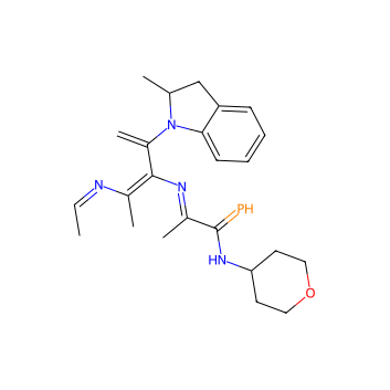 C=C(C(/N=C(\C)C(=P)NC1CCOCC1)=C(C)\N=C/C)N1c2ccccc2CC1C